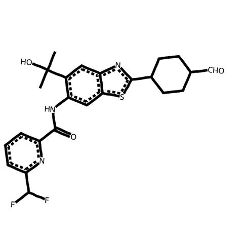 CC(C)(O)c1cc2nc(C3CCC(C=O)CC3)sc2cc1NC(=O)c1cccc(C(F)F)n1